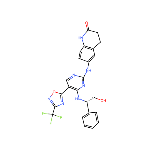 O=C1CCc2cc(Nc3ncc(-c4nc(C(F)(F)F)no4)c(N[C@H](CO)c4ccccc4)n3)ccc2N1